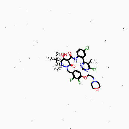 Cc1c(Cl)ncnc1-c1cc(Cl)ccc1NC(=O)C1=C(O)[C@H](C(C)(C)C)N(C)N(Cc2ccc(OCCN3CCOCC3)c(F)c2F)C1=O